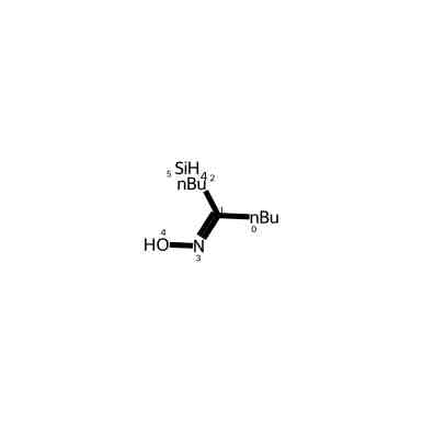 CCCCC(CCCC)=NO.[SiH4]